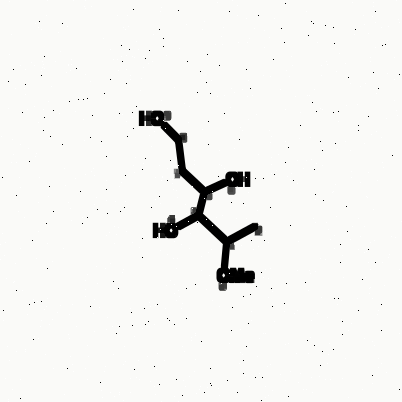 COC(C)C(O)C(O)CCO